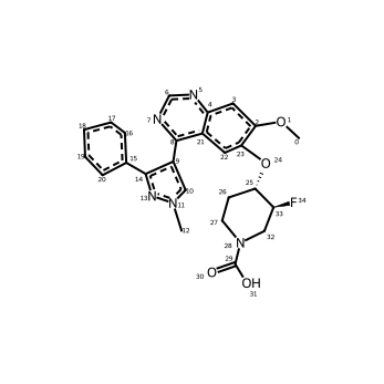 COc1cc2ncnc(-c3cn(C)nc3-c3ccccc3)c2cc1O[C@H]1CCN(C(=O)O)C[C@@H]1F